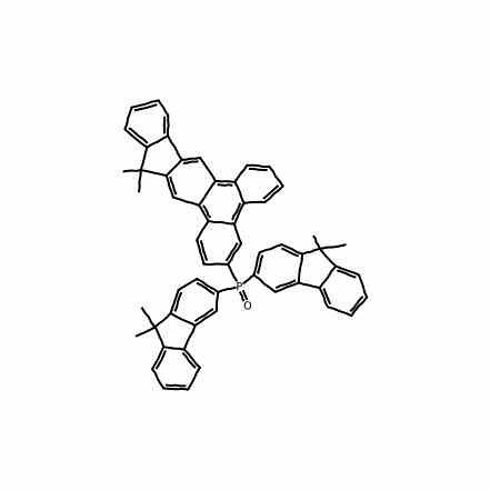 CC1(C)c2ccccc2-c2cc(P(=O)(c3ccc4c(c3)-c3ccccc3C4(C)C)c3ccc4c(c3)c3ccccc3c3cc5c(cc43)C(C)(C)c3ccccc3-5)ccc21